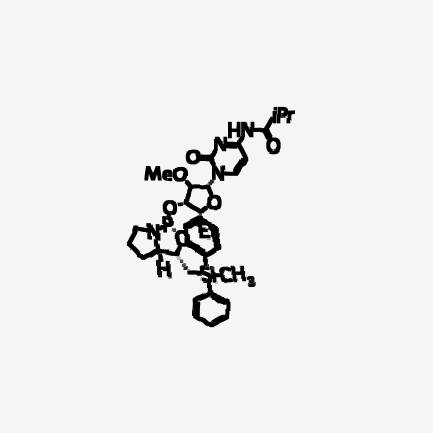 CC[C@H]1O[C@@H](n2ccc(NC(=O)C(C)C)nc2=O)C(OC)[C@H]1O[P@@]1O[C@H](C[Si](C)(c2ccccc2)c2ccccc2)[C@@H]2CCCN21